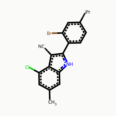 Cc1cc(Cl)c2c(C#N)c(-c3ccc(C(C)C)cc3Br)[nH]c2c1